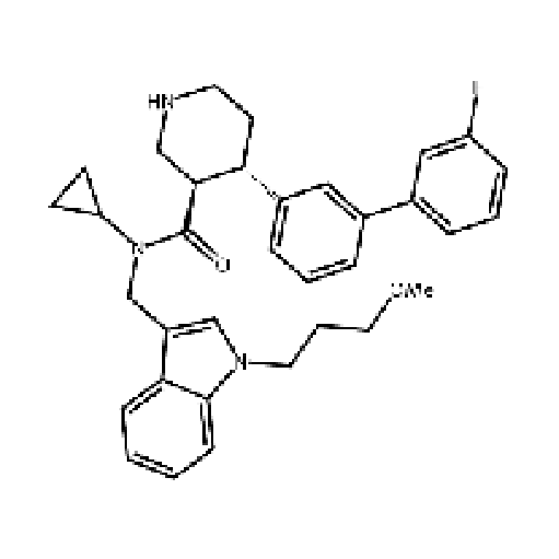 COCCCn1cc(CN(C(=O)[C@H]2CNCC[C@@H]2c2cccc(-c3cccc(F)c3)c2)C2CC2)c2ccccc21